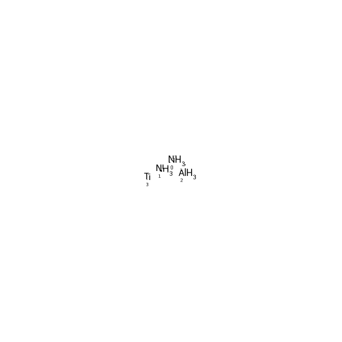 N.N.[AlH3].[Ti]